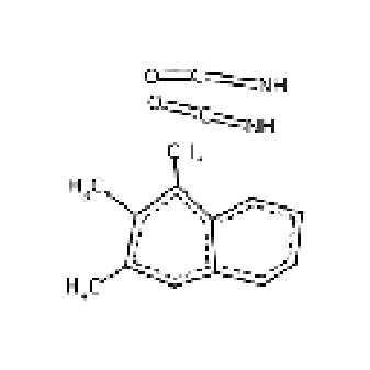 Cc1cc2ccccc2c(C)c1C.N=C=O.N=C=O